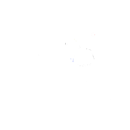 c1ccc(-c2ccc(N(c3ccc4c(c3)C3(c5ccccc5-c5ccccc5-4)c4ccccc4-c4cc5sc6ccccc6c5cc43)c3cccc4oc5ccccc5c34)cc2)cc1